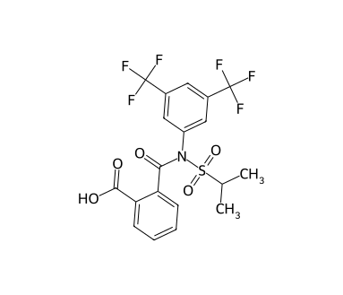 CC(C)S(=O)(=O)N(C(=O)c1ccccc1C(=O)O)c1cc(C(F)(F)F)cc(C(F)(F)F)c1